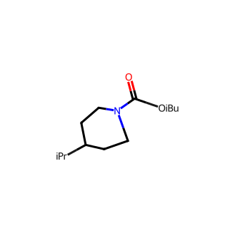 CC(C)COC(=O)N1CCC(C(C)C)CC1